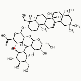 CC1(C)CC2C3=CCC4[C@@]5(C)CC[C@H](OC6O[C@H](C(=O)O)[C@@H](O)[C@H](O)[C@H]6OC6O[C@H](CO)[C@H](O)[C@H](O)[C@H]6OC6O[C@H](CO)[C@@H](O)[C@H](O)[C@H]6O)[C@](C)(CO)C5CC[C@@]4(C)[C@]3(C)CC[C@@]2(C)[C@H](O)C1